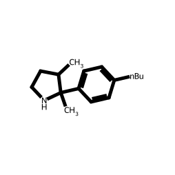 CCCCc1ccc(C2(C)NCCC2C)cc1